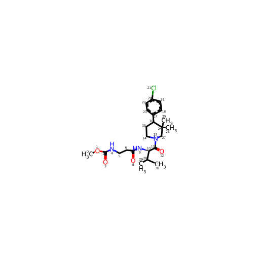 COC(=O)NCCC(=O)N[C@@H](C(=O)N1CCC(c2ccc(Cl)cc2)C(C)(C)C1)C(C)C